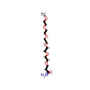 CCOCCOCCOCCOCCOCCOCCC(N)=O